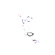 CCN1CCN(c2nc(NC3COC3)cc(C(=O)NC[C@H](O)CN3CCc4cc(OCc5cnco5)ccc4C3)n2)CC1